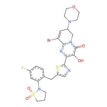 O=c1c(O)c(-c2ncc(Cc3ccc(F)cc3N3CCCS3(=O)=O)s2)nc2n1CC(N1CCOCC1)C=C2Br